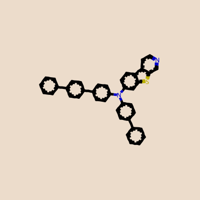 c1ccc(-c2ccc(-c3ccc(N(c4ccc(-c5ccccc5)cc4)c4ccc5c(c4)sc4cnccc45)cc3)cc2)cc1